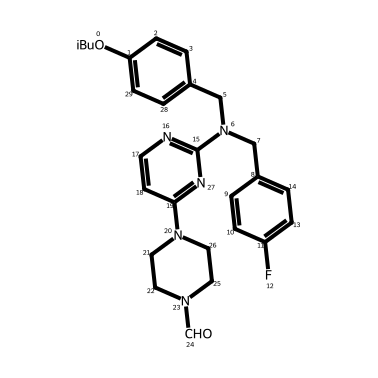 CC(C)COc1ccc(CN(Cc2ccc(F)cc2)c2nccc(N3CCN(C=O)CC3)n2)cc1